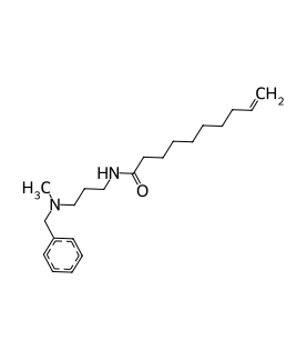 C=CCCCCCCCC(=O)NCCCN(C)Cc1ccccc1